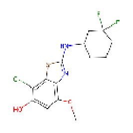 COc1cc(O)c(Cl)c2sc(NC3CCCC(F)(F)C3)nc12